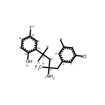 Cc1cc(Cl)cc(CC(N)(CC(C)(C)c2cc(F)ccc2O)C(F)(F)F)c1